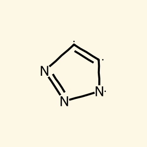 [C]1=[C]N=N[N]1